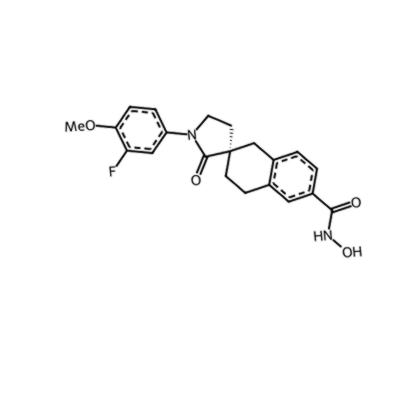 COc1ccc(N2CC[C@]3(CCc4cc(C(=O)NO)ccc4C3)C2=O)cc1F